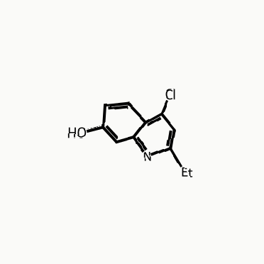 CCc1cc(Cl)c2ccc(O)cc2n1